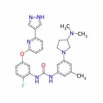 Cc1cc(NC(=O)Nc2cc(Oc3cccc(-c4cn[nH]c4)n3)ccc2F)cc(N2CCC(N(C)C)C2)c1